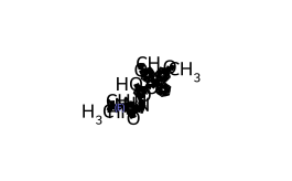 COc1ccc(C(OC[C@H]2O[C@@H](n3ncc4c(=O)[nH]c(/N=C/N(C)C)nc43)CC2O)(c2ccccc2)c2ccc(OC)cc2)cc1